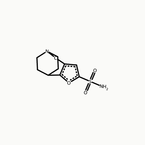 NS(=O)(=O)c1cc2c(o1)C1CCN(CC1)C2